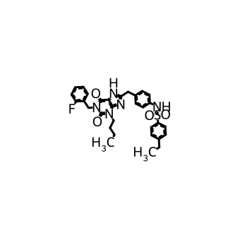 CCCCn1c(=O)n(Cc2ccccc2F)c(=O)c2[nH]c(Cc3ccc(NS(=O)(=O)c4ccc(CC)cc4)cc3)nc21